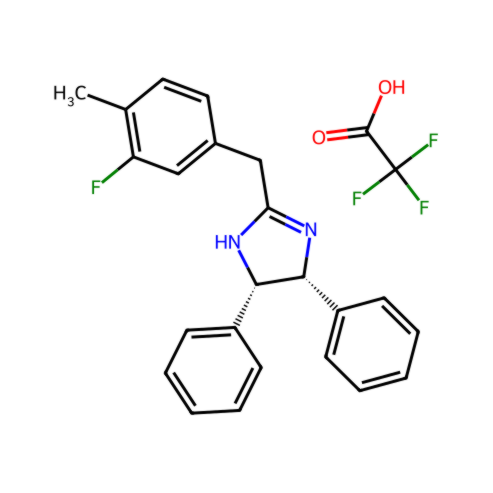 Cc1ccc(CC2=N[C@H](c3ccccc3)[C@H](c3ccccc3)N2)cc1F.O=C(O)C(F)(F)F